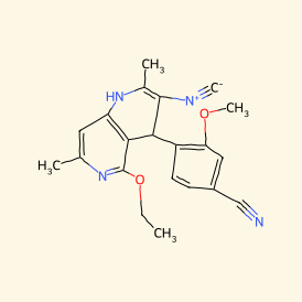 [C-]#[N+]C1=C(C)Nc2cc(C)nc(OCC)c2C1c1ccc(C#N)cc1OC